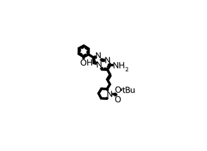 CC(C)(C)OC(=O)N1CCCCC1CC=Cc1cn2cc(-c3ccccc3O)nc2nc1N